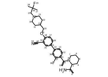 C=C(N)C1CCCCN1C(=C)c1ccc(-c2ccc(OCC3CCN(CC(C)(C)F)CC3)c(C#N)c2)cc1F